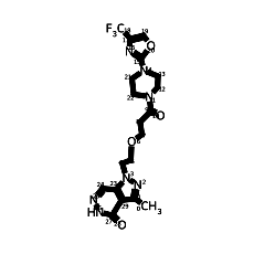 Cc1nn(CCOCCC(=O)N2CCN(c3nc(C(F)(F)F)co3)CC2)c2cn[nH]c(=O)c12